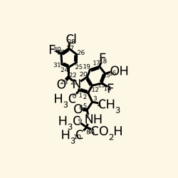 Cc1c(C(C)C(=O)NC(C)(C)C(=O)O)c2c(F)c(O)c(F)cc2n1C(=O)c1ccc(Cl)c(F)c1